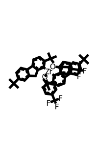 CC(C)(C)c1ccc2c(c1)Cc1c-2ccc(C(C)(C)C)[c]1[Zr]([O]c1ccc(C(F)(F)F)cc1)([O]c1ccc(C(F)(F)F)cc1)[c]1c(C(C)(C)C)ccc2c1Cc1cc(C(C)(C)C)ccc1-2